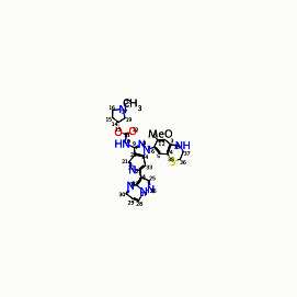 COc1cc2c(cc1-n1nc(NC(=O)O[C@@H]3CCN(C)C3)c3cnc(-c4cnn5cccnc45)cc31)SCCN2